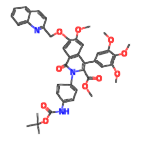 COC(=O)c1c(-c2cc(OC)c(OC)c(OC)c2)c2cc(OC)c(OCc3ccc4ccccc4n3)cc2c(=O)n1-c1ccc(NC(=O)OC(C)(C)C)cc1